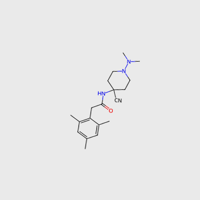 Cc1cc(C)c(CC(=O)NC2(C#N)CCN(N(C)C)CC2)c(C)c1